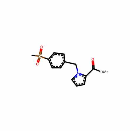 COC(=O)c1cccn1Cc1ccc(S(C)(=O)=O)cc1